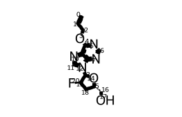 C=CCOc1ncnc2c1ncn2C1O[C@H](CO)C[C@H]1F